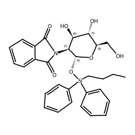 CCCC[Si](O[C@H]1O[C@H](CO)[C@@H](O)[C@H](O)[C@@H]1N1C(=O)c2ccccc2C1=O)(c1ccccc1)c1ccccc1